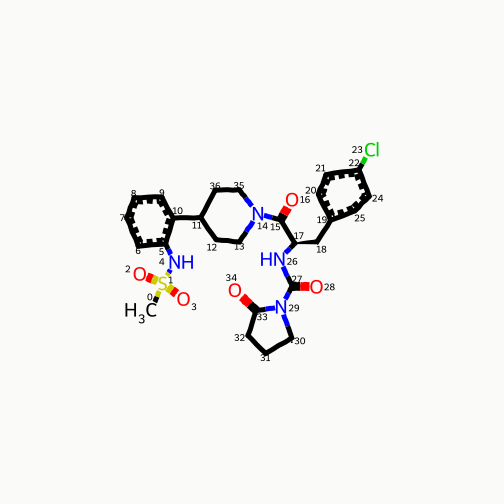 CS(=O)(=O)Nc1ccccc1C1CCN(C(=O)[C@@H](Cc2ccc(Cl)cc2)NC(=O)N2[CH]CCC2=O)CC1